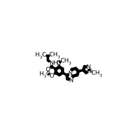 COc1cc(-c2cnc3cc(-c4cnn(C)c4)ccn23)cc(OC)c1C(=O)NCC(C)C